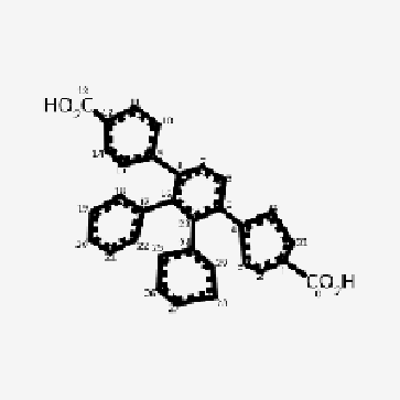 O=C(O)c1ccc(-c2ccc(-c3ccc(C(=O)O)cc3)c(-c3ccccc3)c2-c2ccccc2)cc1